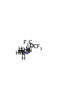 O=C(/C=C\n1cnc(-c2cc(C(F)(F)F)cc(C(F)(F)F)c2)n1)NN1C[C@H]2C[C@H]2C1=O